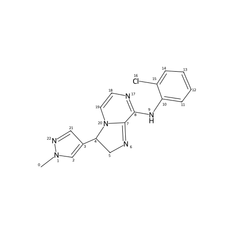 Cn1cc(C2CN=C3C(Nc4ccccc4Cl)=NC=CN32)cn1